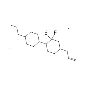 C=CCC1CCC(C2CCC(CCC)CC2)C(F)(F)C1